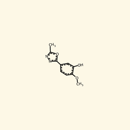 COc1ccc(-c2nnc(C)o2)cc1O